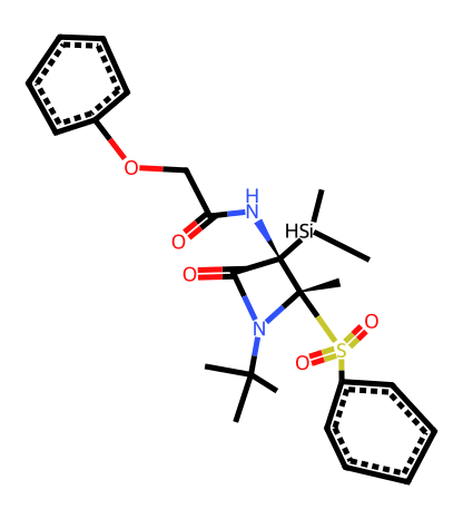 C[SiH](C)[C@@]1(NC(=O)COc2ccccc2)C(=O)N(C(C)(C)C)[C@@]1(C)S(=O)(=O)c1ccccc1